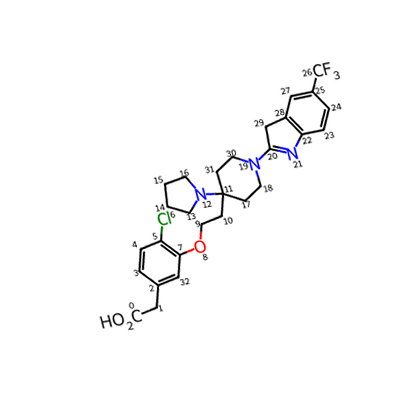 O=C(O)Cc1ccc(Cl)c(OCCC2(N3CCCC3)CCN(C3=Nc4ccc(C(F)(F)F)cc4C3)CC2)c1